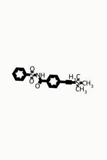 C[Si](C)(C)C#Cc1ccc(C(=O)NS(=O)(=O)c2ccccc2)cc1